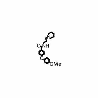 COc1ccc(Oc2ccc(C(=O)NCCCN3CCCCC3)cc2)cc1